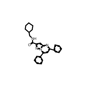 O=C(NCC1CCCCC1)c1cc2nc(-c3ccccc3)cc(-c3ccccc3)n2n1